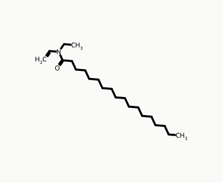 C=CN(CC)C(=O)CCCCCCCCCCCCCCCCC